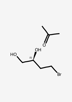 CC(C)=O.OC[C@@H](O)CCBr